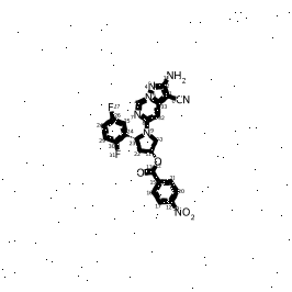 N#Cc1c(N)nn2cnc(N3C[C@@H](OC(=O)c4ccc([N+](=O)[O-])cc4)C[C@@H]3c3cc(F)ccc3F)cc12